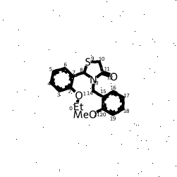 CCOc1ccccc1C1SCC(=O)N1Cc1ccccc1OC